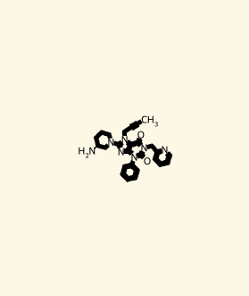 CC#CCn1c(N2CCC[C@@H](N)C2)nc2c1c(=O)n(Cc1ccccn1)c(=O)n2-c1ccccc1